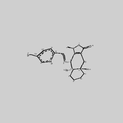 C[C@H]1OC(=O)C2=C1[C@@H](/C=C/c1ccc(Br)cn1)[C@@H]1CCCC[C@H]1C2